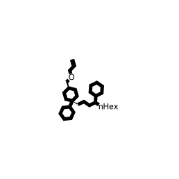 C=CCOC[C@H]1CC[C@@](CCCC(CCCCCC)C2CCCCC2)(C2CCCCC2)CC1